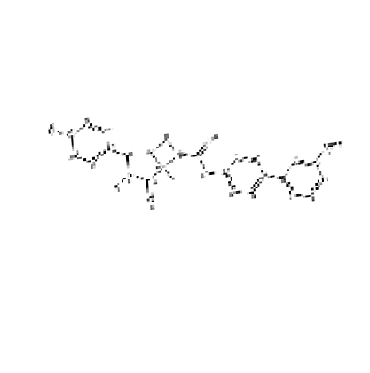 COc1cccc(-c2ccc(CC(=O)N3CCC3(C)C(=O)N(C)Cc3ccc(Cl)cc3)cc2)c1